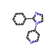 c1ccc(-c2nccn2-c2ccncc2)cc1